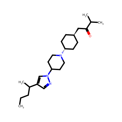 CCCC(C)c1cnn(C2CCN([C@H]3CC[C@H](CC(=O)C(C)C)CC3)CC2)c1